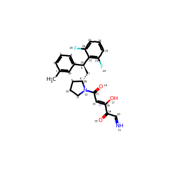 Cc1cccc([C@H](C[C@H]2CCCN2C(=O)/C=C(\O)C(=O)C=N)c2c(F)cccc2F)c1